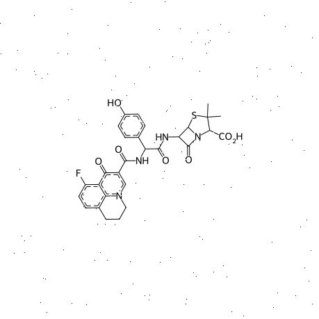 CC1(C)SC2C(NC(=O)C(NC(=O)c3cn4c5c(ccc(F)c5c3=O)CCC4)c3ccc(O)cc3)C(=O)N2C1C(=O)O